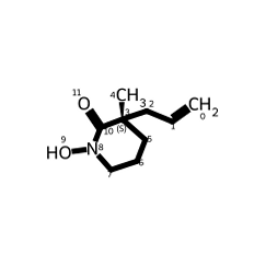 C=CC[C@]1(C)CCCN(O)C1=O